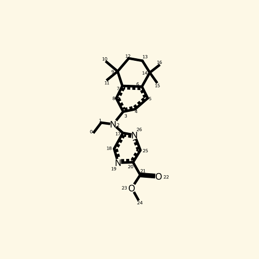 CCN(c1ccc2c(c1)C(C)(C)CCC2(C)C)c1cnc(C(=O)OC)cn1